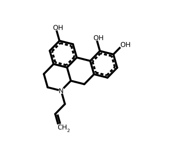 C=CCN1CCc2cc(O)cc3c2C1Cc1ccc(O)c(O)c1-3